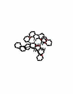 c1ccc(-c2ccc(C3=NC(c4ccccc4)NC(n4c5ccccc5c5ccc6c7ccccc7n(-c7c(-c8ccccc8)c(-c8ccccc8)cc8c9ccccc9n(-c9ccccc9)c78)c6c54)=N3)cc2)cc1